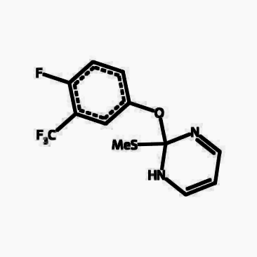 CSC1(Oc2ccc(F)c(C(F)(F)F)c2)N=CC=CN1